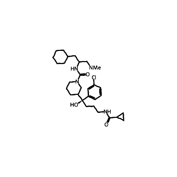 CNCC(CC1CCCCC1)NC(=O)N1CCCC([C@@](O)(CCCNC(=O)C2CC2)c2cccc(Cl)c2)C1